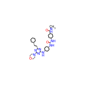 CNC(=O)c1ccc(NC(=O)Nc2ccc(Nc3nc(/C=C/c4ccccc4)nc(N4CCOCC4)n3)cc2)cc1